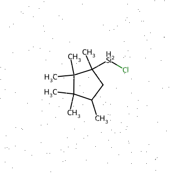 CC1CC(C)([SiH2]Cl)C(C)(C)C1(C)C